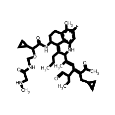 CCCC1=C2c3c(cc(F)c(C)c3CCC2NC(=O)C(OCNC(=O)CNC)C2CC2)NC1/C(C)=C/C(=C(/CC1CC1)C(C)=O)C(C=O)CC